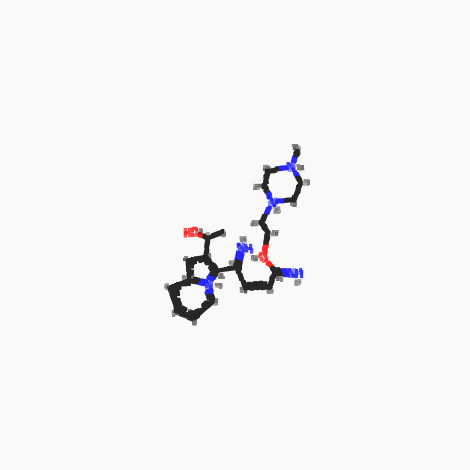 CC(O)c1cc2ccccn2c1C(=N)/C=C\C(=N)OCCN1CCN(C)CC1